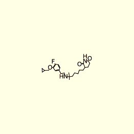 CC(C)(CCCCCC1CCC(=O)NC1=O)NCCc1ccc(F)c(OCC2CC2)c1